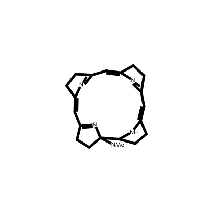 CNC12CCC(=N1)C=C1CCC(=N1)C=C1CCC(=N1)C=C1CCC2N1